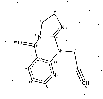 C#CCN1C2=NCCN2C(=O)c2cccnc21